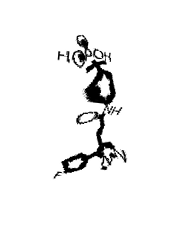 Cn1ncc(C=CC(=O)Nc2ccc(C(C)(C)P(=O)(O)O)cc2)c1-c1cccc(F)c1